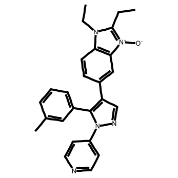 CCc1n(CC)c2ccc(-c3cnn(-c4ccncc4)c3-c3cccc(C)c3)cc2[n+]1[O-]